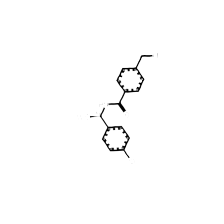 C[C@@H](NC(=O)c1ccc(CCl)cc1)c1ccc(Cl)cc1